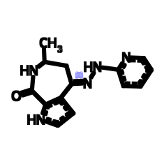 CC1C/C(=N\Nc2ccccn2)c2cc[nH]c2C(=O)N1